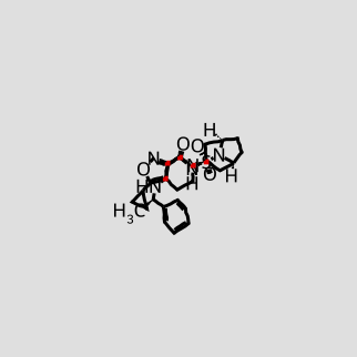 C[C@@H](NC1CCN(S(=O)(=O)N2[C@@H]3CC[C@H]2C[C@@H](NC(=O)c2cc(C4CC4)on2)C3)CC1)c1ccccc1